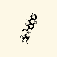 CC[C@@H](N[C@@H](C)C1(C(N)=O)CC1)c1ccc(Cl)c(C(=O)c2cccnc2)c1F